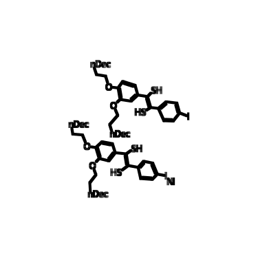 CCCCCCCCCCCCOc1ccc(C(S)=C(S)c2ccc(I)cc2)cc1OCCCCCCCCCCCC.CCCCCCCCCCCCOc1ccc(C(S)=C(S)c2ccc(I)cc2)cc1OCCCCCCCCCCCC.[Ni]